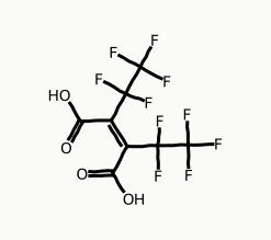 O=C(O)/C(=C(\C(=O)O)C(F)(F)C(F)(F)F)C(F)(F)C(F)(F)F